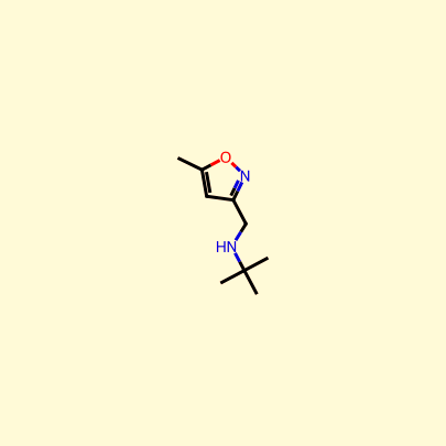 Cc1cc(CNC(C)(C)C)no1